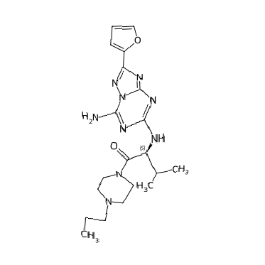 CCCN1CCN(C(=O)[C@@H](Nc2nc(N)n3nc(-c4ccco4)nc3n2)C(C)C)CC1